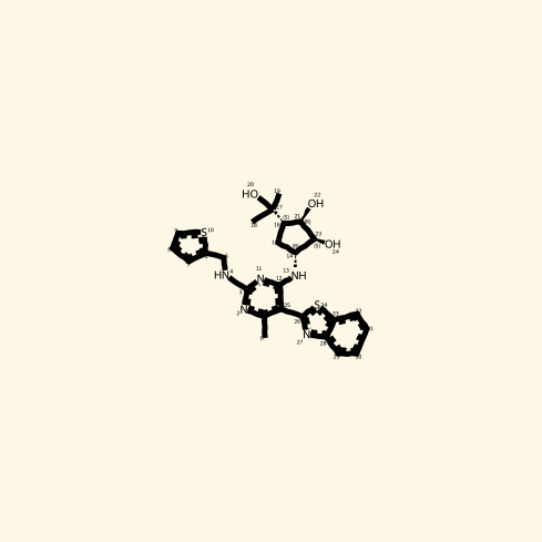 Cc1nc(NCc2cccs2)nc(N[C@@H]2C[C@H](C(C)(C)O)[C@@H](O)[C@H]2O)c1-c1nc2ccccc2s1